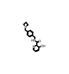 O=C(NCc1ccc(CN2CCC2)cc1)C1N=CC=CC1O